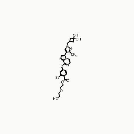 CCc1cc(Oc2nccn3c(-c4cn(CC5CC(O)(O)C5)nc4C(F)(F)F)cnc23)ccc1C(=O)OCCOCCO